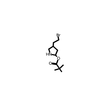 CC(C)(C)C(=O)OC1CC(CCBr)CN1